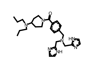 CCCN(CCC)C1CCN(C(=O)c2ccc(CN(Cc3ncc[nH]3)Cc3ncc[nH]3)cc2)CC1